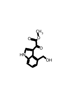 COC(=O)C(=O)c1c[nH]c2cccc(CO)c12